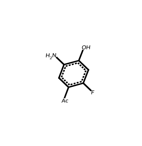 CC(=O)c1cc(N)c(O)cc1F